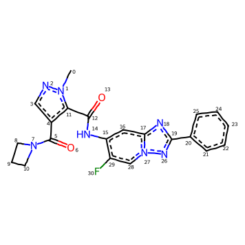 Cn1ncc(C(=O)N2CCC2)c1C(=O)Nc1cc2nc(-c3ccccc3)nn2cc1F